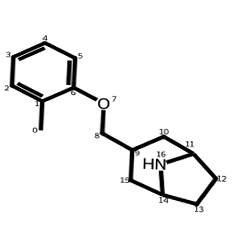 Cc1ccccc1OCC1CC2CCC(C1)N2